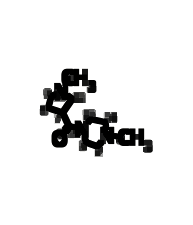 CN1CCN(C(=O)C2CCN(C)C2)CC1